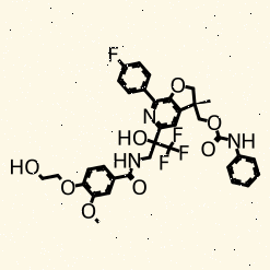 COc1cc(C(=O)NCC(O)(c2cc3c(c(-c4ccc(F)cc4)n2)OC[C@]3(C)COC(=O)Nc2ccccc2)C(F)(F)F)ccc1OCCO